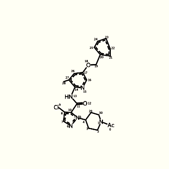 CC(=O)N1CCC(n2ncc(Cl)c2C(=O)Nc2ncc(OCc3ccccc3)cc2C)CC1